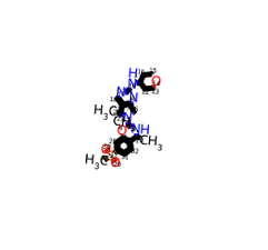 CC(NC(=O)N1Cc2nc(NC3CCOCC3)ncc2C1(C)C)c1ccc(S(C)(=O)=O)cc1